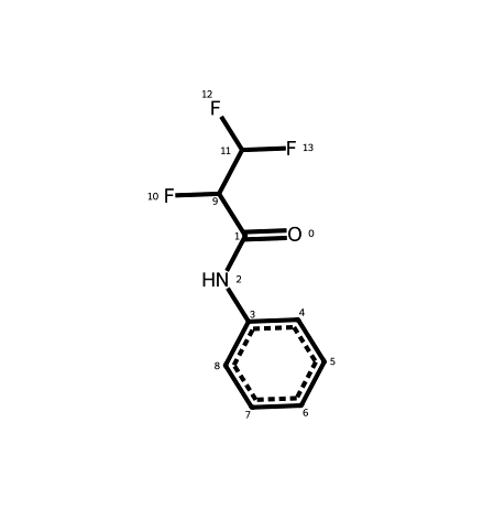 O=C(Nc1ccccc1)C(F)C(F)F